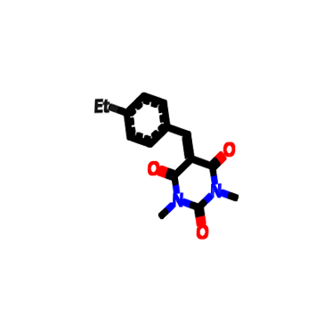 CCc1ccc(C=C2C(=O)N(C)C(=O)N(C)C2=O)cc1